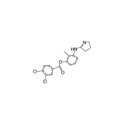 Cc1c(NC2=NCCC2)cccc1OC(=O)c1ccc(Cl)c(Cl)c1